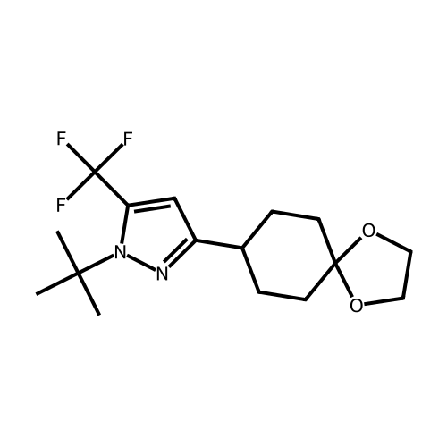 CC(C)(C)n1nc(C2CCC3(CC2)OCCO3)cc1C(F)(F)F